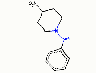 O=[N+]([O-])C1CCN(Nc2ccccc2)CC1